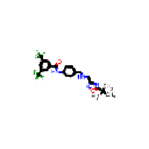 CC(C)(C)c1nc(CNCC2CCC(NC(=O)c3cc(C(F)(F)F)cc(C(F)(F)F)c3)CC2)no1